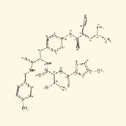 Cc1ccc(CNC(=O)C(Cc2ccc(NC(=O)C(C#N)=CC(C)C)cc2)NC(=O)C(NC(=O)c2cc(C)on2)C(C)O)cc1